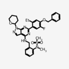 CCc1cc(OCc2ccccc2)c(F)cc1-c1nc(NCc2ccccc2N(C)S(C)(=O)=O)c2cnn(C3CCCCO3)c2n1